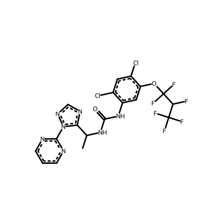 CC(NC(=O)Nc1cc(OC(F)(F)C(F)C(F)(F)F)c(Cl)cc1Cl)c1ncnn1-c1ncccn1